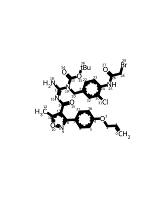 C=CCOc1ccc(-c2noc(C)c2C(=O)N=C(N)N(Cc2ccc(NC(=O)CBr)c(Cl)c2)C(=O)OC(C)(C)C)cc1